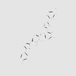 Cc1ccc(-c2ccc(C(=O)NC(Cc3cc(C)cc(-c4noc(-c5ccc(C)cc5)n4)c3)C(=O)O)o2)cc1